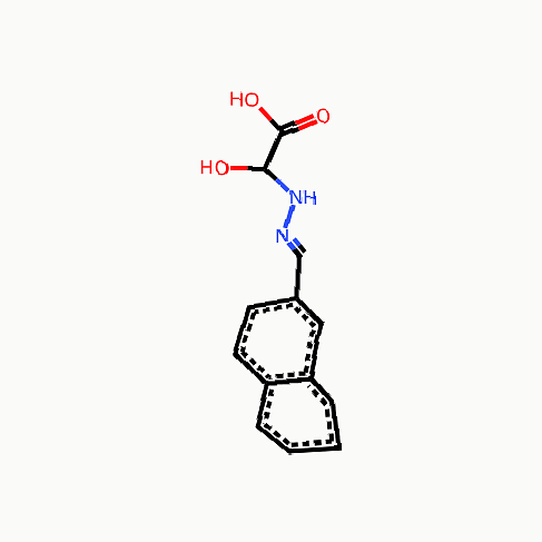 O=C(O)C(O)N/N=C/c1ccc2ccccc2c1